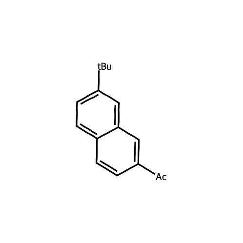 CC(=O)c1ccc2ccc(C(C)(C)C)cc2c1